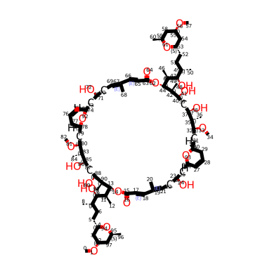 CO[C@H]1C[C@H](CC[C@H](C)[C@H](O)[C@H](C)[C@H]2OC(=O)/C=C/C(C)=C/C[C@H](O)C[C@H]3C=CC[C@@H](C[C@H](OC)[C@@H](C)[C@@H](O)C[C@@H](O)[C@H](C)[C@@H]([C@@H](C)[C@@H](O)[C@@H](C)CC[C@H]4C[C@H](OC)C[C@H](C)O4)OC(=O)/C=C/C(C)=C/C[C@H](O)C[C@H]4C=CC[C@@H](C[C@H](OC)[C@@H](C)[C@@H](O)C[C@@H](O)[C@@H]2C)O4)O3)O[C@@H](C)C1